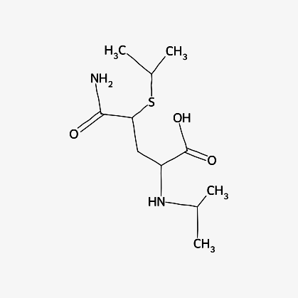 CC(C)NC(CC(SC(C)C)C(N)=O)C(=O)O